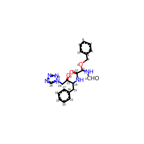 O=CNC(OCc1ccccc1)C(=O)NC(Cc1ccccc1)C(=O)Cn1cnnn1